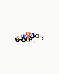 Cc1ccc(S(=O)(=O)Nc2cc(-c3cccs3)ccc2C)nc1